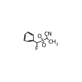 CC(C#N)S(=O)(=O)C(F)c1ccccc1